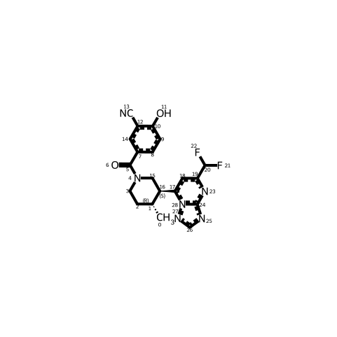 C[C@@H]1CCN(C(=O)c2ccc(O)c(C#N)c2)C[C@H]1c1cc(C(F)F)nc2ncnn12